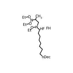 CCCCCCCCCCCCCCCCCCN(CC(C)N(OCC)OCC)OCC.F.F